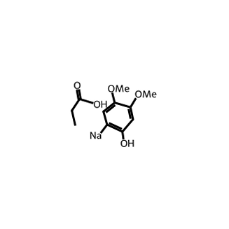 CCC(=O)O.COc1cc(O)[c]([Na])cc1OC